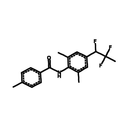 Cc1ccc(C(=O)Nc2c(C)cc(C(F)C(C)(F)F)cc2C)cc1